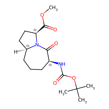 COC(=O)[C@@H]1CC[C@@H]2CCC[C@H](NC(=O)OC(C)(C)C)C(=O)N21